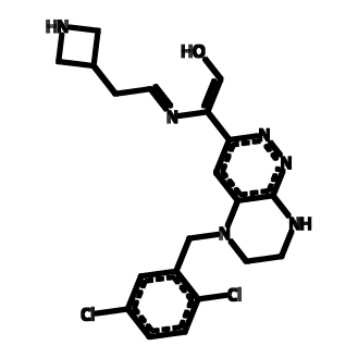 O/C=C(\N=C\CC1CNC1)c1cc2c(nn1)NCCN2Cc1cc(Cl)ccc1Cl